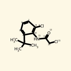 CC(C)(C)c1cccc(Cl)c1NC(=O)CCl